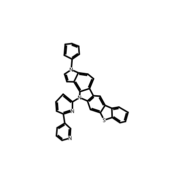 c1ccc(-n2ccc3c2ccc2c4cc5c(cc4n(-c4cccc(-c6cccnc6)n4)c23)sc2ccccc25)cc1